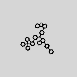 c1ccc(-c2ccc(-c3ccc(N(c4ccc(-c5cccc6oc7ccccc7c56)cc4)c4cccc(-c5cccc6c5-c5ccccc5C6(c5ccccc5)c5ccccc5)c4)c4ccccc34)cc2)cc1